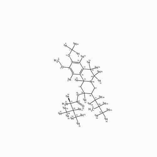 [2H]c1c(OC)c(OC([2H])([2H])[2H])c([2H])c2c1C1([2H])CC([2H])(OC(=O)[C@@]([2H])(N)C([2H])(C([2H])([2H])[2H])C([2H])([2H])[2H])C(C([2H])([2H])C([2H])(C)C([2H])([2H])[2H])CN1C([2H])([2H])C2([2H])[2H]